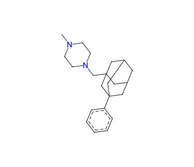 CN1CCN(CC23CC4CC(C2)CC(c2ccccc2)(C4)C3)CC1